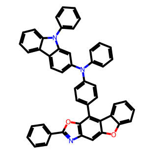 c1ccc(-c2nc3cc4oc5ccccc5c4c(-c4ccc(N(c5ccccc5)c5ccc6c7ccccc7n(-c7ccccc7)c6c5)cc4)c3o2)cc1